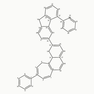 C1=CC2=C(CC=C1c1ccccc1)C1CC(c3ccc4c(c3)-c3c(cccc3-c3ccccn3)C4)=CC=C1C=C2